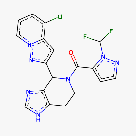 O=C(c1ccnn1C(F)F)N1CCc2[nH]cnc2C1c1cc2c(Cl)cccn2n1